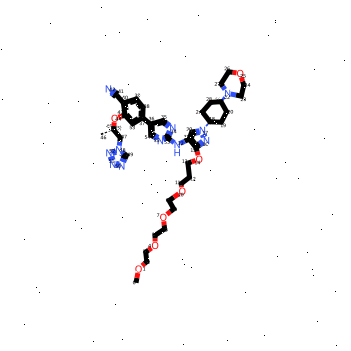 COCCOCCOCCOCCCOc1nn([C@H]2CC[C@H](N3CCOCC3)CC2)cc1Nc1ncc(-c2ccc(C#N)c(O[C@@H](C)Cn3cnnn3)c2)cn1